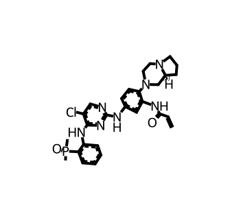 C=CC(=O)Nc1cc(Nc2ncc(Cl)c(Nc3ccccc3P(C)(C)=O)n2)ccc1N1CCN2CCC[C@H]2C1